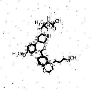 COCCCN1CCOc2ccc(CO[C@H]3CN[C@@H](CC(C)(C)NC(C)=O)C[C@@H]3c3ccc(OC)cc3)cc21